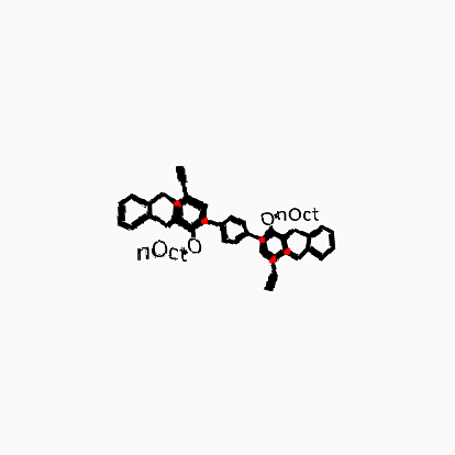 C#Cc1cc(-c2ccc(-c3cc(C#C)c4c(c3OCCCCCCCC)C3c5ccccc5C4c4ccccc43)cc2)c(OCCCCCCCC)c2c1C1c3ccccc3C2c2ccccc21